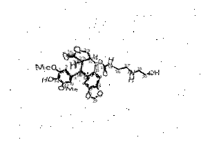 COc1cc([C@@H]2c3cc4c(cc3[C@@H](OC(=O)NCCNCCO)[C@@H]3COC(=O)[C@@H]23)OCO4)cc(OC)c1O